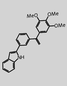 C=C(c1cccc(-c2cc3ccccc3[nH]2)c1)c1cc(OC)c(OC)c(OC)c1